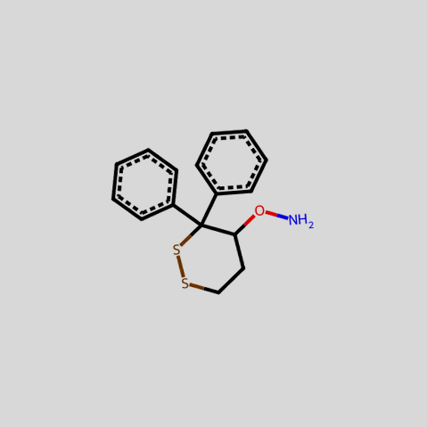 NOC1CCSSC1(c1ccccc1)c1ccccc1